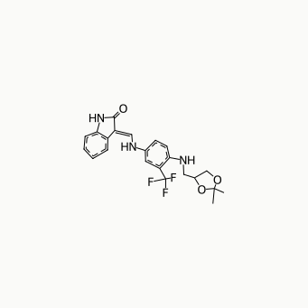 CC1(C)OCC(CNc2ccc(N/C=C3/C(=O)Nc4ccccc43)cc2C(F)(F)F)O1